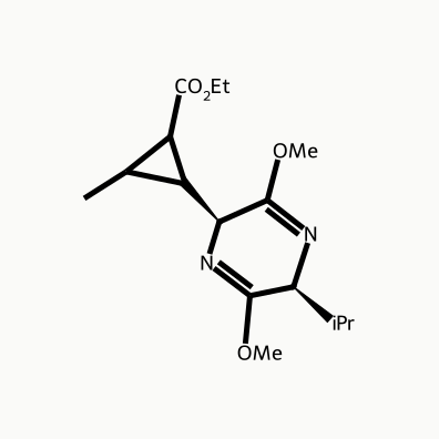 CCOC(=O)C1C(C)C1[C@@H]1N=C(OC)[C@H](C(C)C)N=C1OC